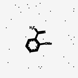 COc1ccccc1C(C)=S